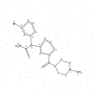 CN1CCC(C(=O)c2cccc(N(C(N)=S)c3cccc(Br)c3)c2)CC1